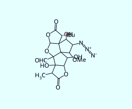 COC1C(N=[N+]=[N-])C(C(C)(C)C)C23C(OC(=O)[C@@H]2O)OC2(C=O)C4(O)C(C)C(=O)OC4C(O)C132